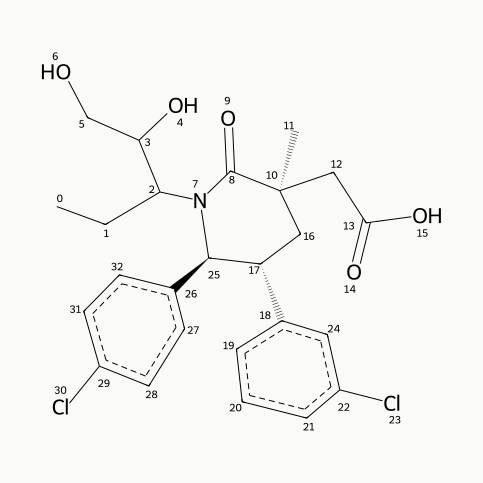 CCC(C(O)CO)N1C(=O)[C@@](C)(CC(=O)O)C[C@H](c2cccc(Cl)c2)[C@H]1c1ccc(Cl)cc1